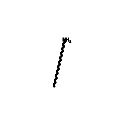 CCCCCCCCCCCCCCCCCCC=CCN